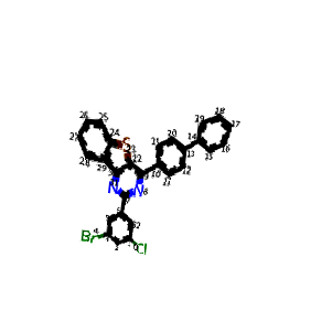 Clc1cc(Br)cc(-c2nc(-c3ccc(-c4ccccc4)cc3)c3sc4ccccc4c3n2)c1